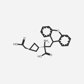 NC(CC1c2ccccc2Oc2ccccc21)(C(=O)O)[C@H]1C[C@H](CC(=O)O)C1